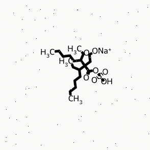 CCCCCC(CC)C(CC(=O)[O-])(C(=O)OS(=O)(=O)O)C(CC)CCCCC.[Na+]